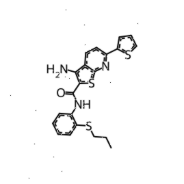 CCCSc1ccccc1NC(=O)c1sc2nc(-c3cccs3)ccc2c1N